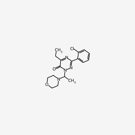 CCc1nc(-c2ccccc2Cl)nn(C(C)N2CCOCC2)c1=O